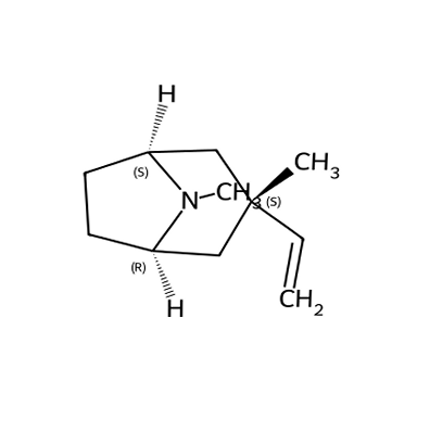 C=C[C@]1(C)C[C@H]2CC[C@@H](C1)N2C